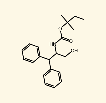 CCC(C)(C)OC(=O)NC(CO)C(c1ccccc1)c1ccccc1